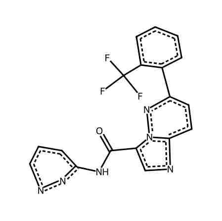 O=C(Nc1cccnn1)c1cnc2ccc(-c3ccccc3C(F)(F)F)nn12